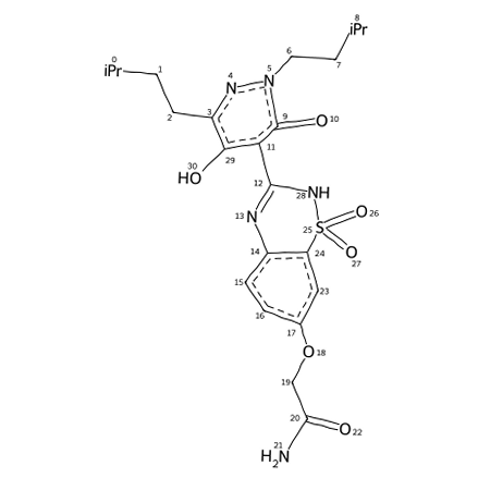 CC(C)CCc1nn(CCC(C)C)c(=O)c(C2=Nc3ccc(OCC(N)=O)cc3S(=O)(=O)N2)c1O